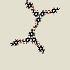 C=Cc1ccc(COCCc2ccc(N(c3ccc(CCOCc4ccc(C=C)cc4)cc3)c3ccc(COCCOCc4ccc(N(c5ccc(CCOCc6ccc(C=C)cc6)cc5)c5ccc(CCOCc6ccc(C=C)cc6)cc5)cc4)cc3)cc2)cc1